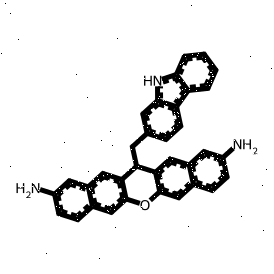 Nc1ccc2cc3c(cc2c1)C(Cc1ccc2c(c1)[nH]c1ccccc12)c1cc2cc(N)ccc2cc1O3